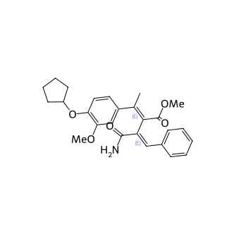 COC(=O)C(/C(=C\c1ccccc1)C(N)=O)=C(\C)c1ccc(OC2CCCC2)c(OC)c1